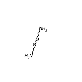 NCCCCCOCCOCCCCCN